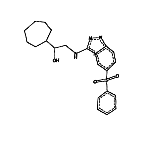 O=S(=O)(c1ccccc1)c1ccc2nnc(NCC(O)C3CCCCCC3)n2c1